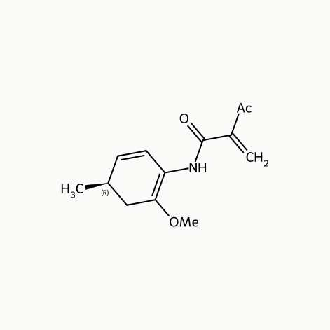 C=C(C(C)=O)C(=O)NC1=C(OC)C[C@@H](C)C=C1